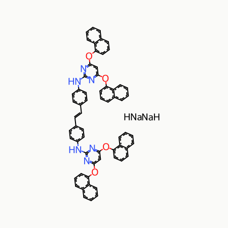 C(=Cc1ccc(Nc2nc(Oc3cccc4ccccc34)cc(Oc3cccc4ccccc34)n2)cc1)c1ccc(Nc2nc(Oc3cccc4ccccc34)cc(Oc3cccc4ccccc34)n2)cc1.[NaH].[NaH]